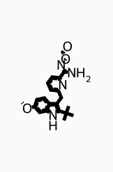 COc1ccc2c(Cc3cccc(/C(N)=N/OC=O)n3)c(C(C)(C)C)[nH]c2c1